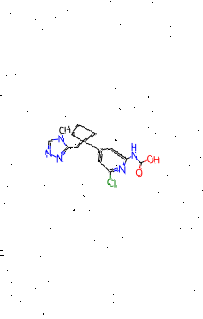 Cn1cnnc1CC1(c2cc(Cl)nc(NC(=O)O)c2)CCC1